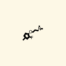 Cc1ccc(OCCCN(C)C)c(F)c1